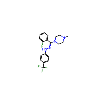 CN1CCN(C(=NNc2ccc(C(F)(F)F)cc2)c2ccccc2F)CC1